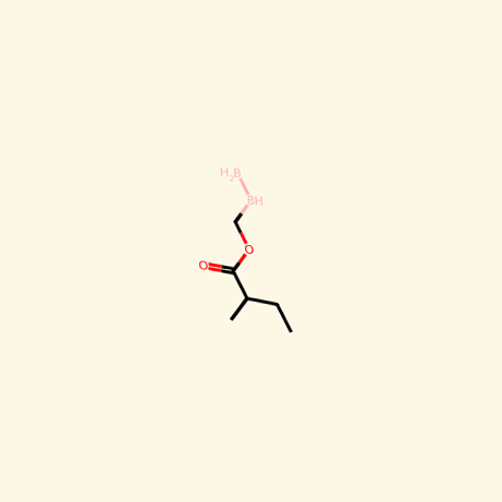 BBCOC(=O)C(C)CC